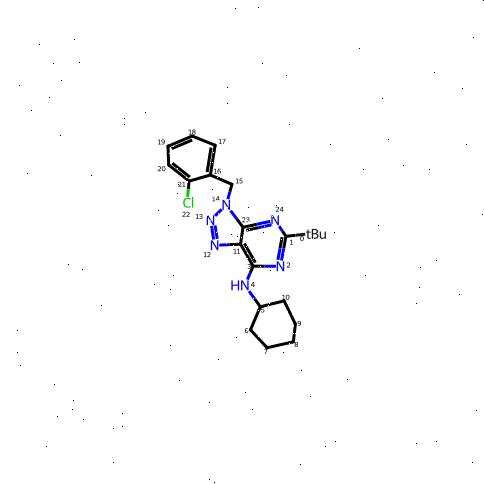 CC(C)(C)c1nc(NC2CCCCC2)c2nnn(Cc3ccccc3Cl)c2n1